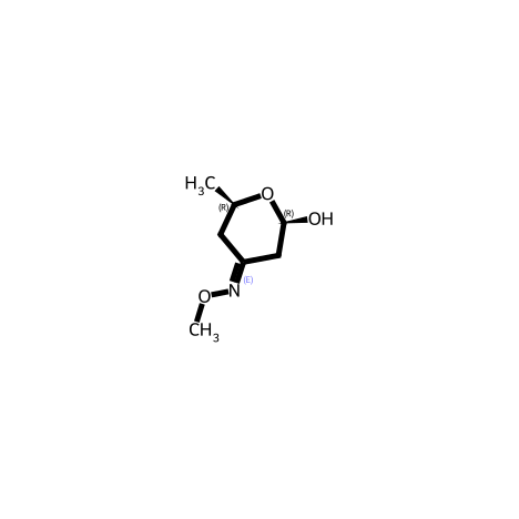 CO/N=C1\C[C@@H](C)O[C@@H](O)C1